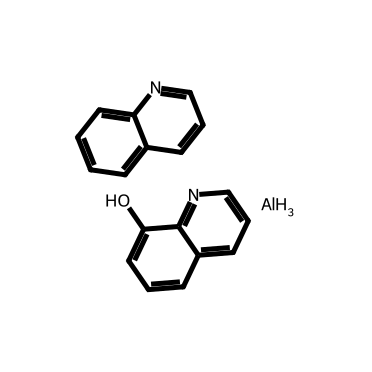 Oc1cccc2cccnc12.[AlH3].c1ccc2ncccc2c1